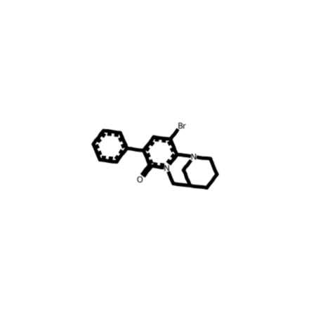 O=c1c(-c2ccccc2)cc(Br)c2n1CC1CCCN2C1